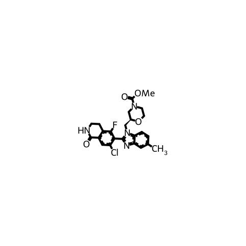 COC(=O)N1CCO[C@@H](Cn2c(-c3c(Cl)cc4c(c3F)CCNC4=O)nc3cc(C)ccc32)C1